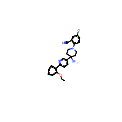 CCOc1ccccc1-c1ccc(C2(N)CCN(c3ccc(Cl)cc3C#N)CC2)cn1